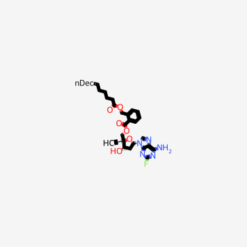 C#C[C@]1(COC(=O)c2ccccc2COC(=O)CCCCCCCCCCCCCCC)O[C@H](n2cnc3c(N)nc(F)nc32)C[C@@H]1O